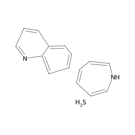 C1=CC=CNC=C1.S.c1ccc2ncccc2c1